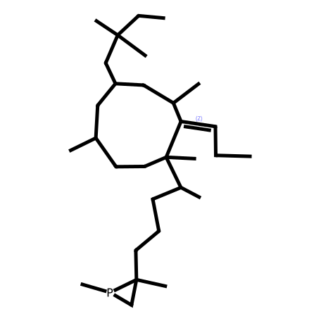 CC/C=C1/C(C)CC(CC(C)(C)CC)CC(C)CCC1(C)C(C)CCCC1(C)CP1C